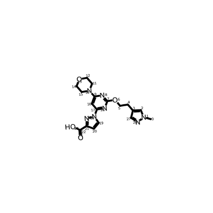 Cn1cc(CCOc2nc(N3CCOCC3)cc(-n3ccc(C(=O)O)n3)n2)cn1